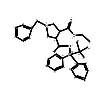 CCOC(=O)C1CN(Cc2ccccc2)CC1C(C)O[Si](c1ccccc1)(c1ccccc1)C(C)(C)C